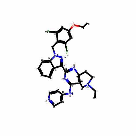 CCOc1cc(F)c(Cn2nc(-c3nc4c(c(Nc5ccncc5)n3)CN(CC)CC4)c3ccccc32)c(F)c1